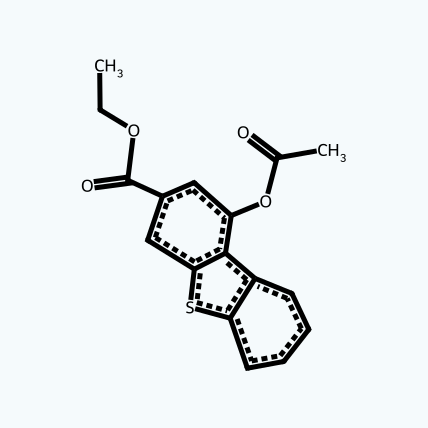 CCOC(=O)c1cc(OC(C)=O)c2c(c1)sc1ccccc12